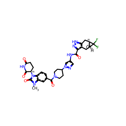 Cn1c(=O)n([C@@H]2CCC(=O)NC2=O)c2ccc(C(=O)N3CCC(n4cc(NC(=O)c5n[nH]c6c5C[C@@H]5C(F)(F)[C@]5(C)C6)cn4)CC3)cc21